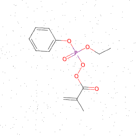 C=C(C)C(=O)OOP(=O)(OCC)Oc1ccccc1